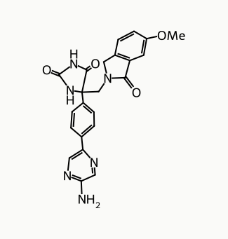 COc1ccc2c(c1)C(=O)N(CC1(c3ccc(-c4cnc(N)cn4)cc3)NC(=O)NC1=O)C2